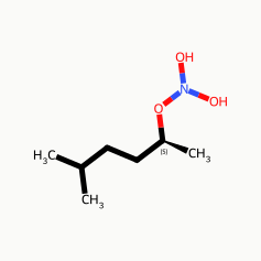 CC(C)CC[C@H](C)ON(O)O